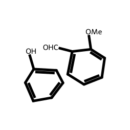 COc1ccccc1C=O.Oc1ccccc1